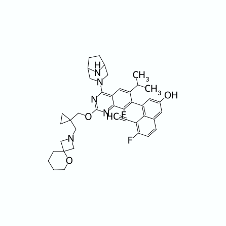 C#Cc1c(F)ccc2cc(O)cc(-c3c(C(C)C)cc4c(N5CC6CCC(C5)N6)nc(OCC5(CN6CC7(CCCCO7)C6)CC5)nc4c3F)c12